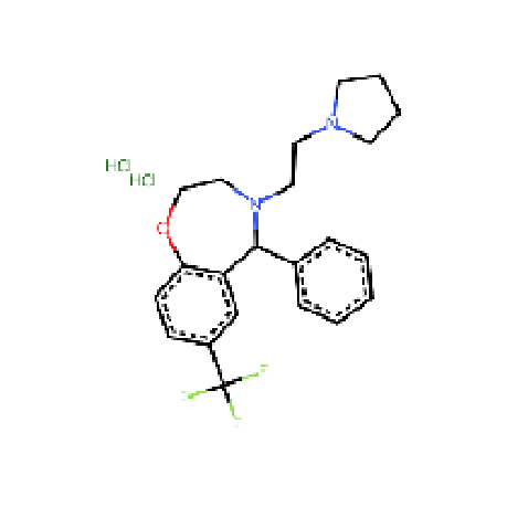 Cl.Cl.FC(F)(F)c1ccc2c(c1)C(c1ccccc1)N(CCN1CCCC1)CCO2